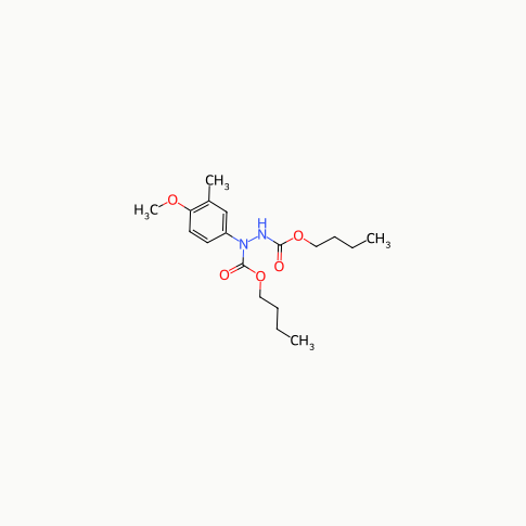 CCCCOC(=O)NN(C(=O)OCCCC)c1ccc(OC)c(C)c1